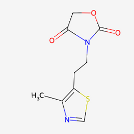 Cc1ncsc1CCN1C(=O)COC1=O